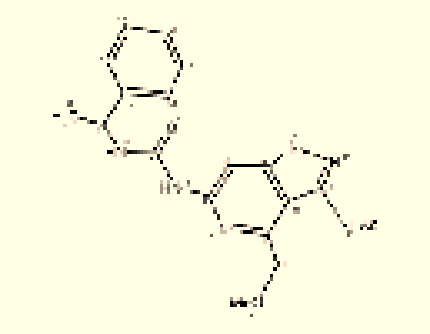 COCc1nc(NC(=O)NC(C)c2ccccc2)cc2[nH]nc(NC(C)=O)c12